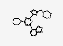 c1cc(-c2nc(-c3ccc(CN4CCOCC4)s3)nc(N3CCOCC3)n2)c2cn[nH]c2c1